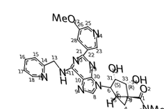 CNC(=O)[C@@]12C[C@@H]1C(n1cnc3c(NCc4ccccn4)nc(-c4cncc(OC)c4)nc31)[C@H](O)[C@@H]2O